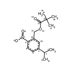 CC(C)c1ccc([N+](=O)[O-])c(COC(=O)C(C)(C)C)c1